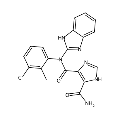 Cc1c(Cl)cccc1N(C(=O)c1nc[nH]c1C(N)=O)c1nc2ccccc2[nH]1